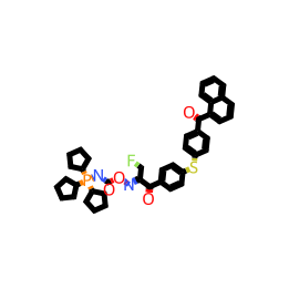 O=C(N=P(C1CCCC1)(C1CCCC1)C1CCCC1)O/N=C(\CF)C(=O)c1ccc(Sc2ccc(C(=O)c3cccc4ccccc34)cc2)cc1